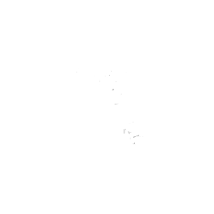 CCCCC(C)(C)CCCCCCCNC(C)=O